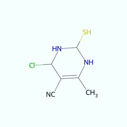 CC1=C(C#N)C(Cl)NC(S)N1